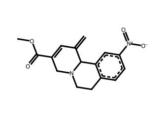 C=C1C=C(C(=O)OC)CN2CCc3ccc([N+](=O)[O-])cc3C12